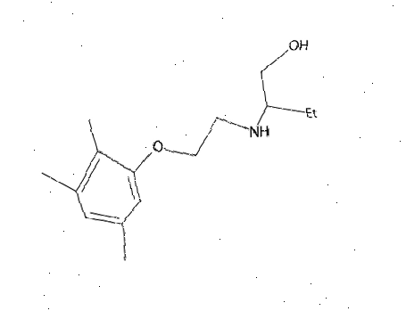 CCC(CO)NCCOc1cc(C)cc(C)c1C